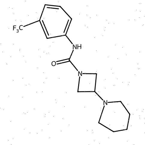 O=C(Nc1cccc(C(F)(F)F)c1)N1CC(N2CCCCC2)C1